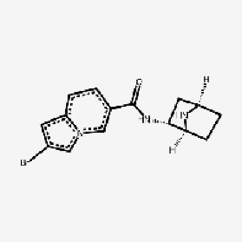 O=C(N[C@@H]1C[C@H]2CC[C@@H]1N2)c1ccc2cc(Br)cn2c1